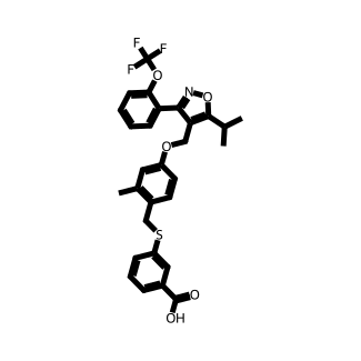 Cc1cc(OCc2c(-c3ccccc3OC(F)(F)F)noc2C(C)C)ccc1CSc1cccc(C(=O)O)c1